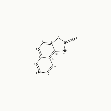 O=C1Cc2ccc3cnccc3c2N1